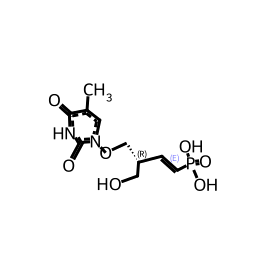 Cc1cn(OC[C@H](/C=C/P(=O)(O)O)CO)c(=O)[nH]c1=O